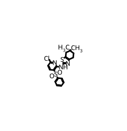 CC1(C)CCc2nc(Nc3nc(Cl)ccc3S(=O)(=O)c3ccccc3)sc2C1